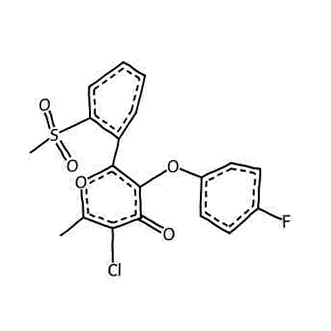 Cc1oc(-c2ccccc2S(C)(=O)=O)c(Oc2ccc(F)cc2)c(=O)c1Cl